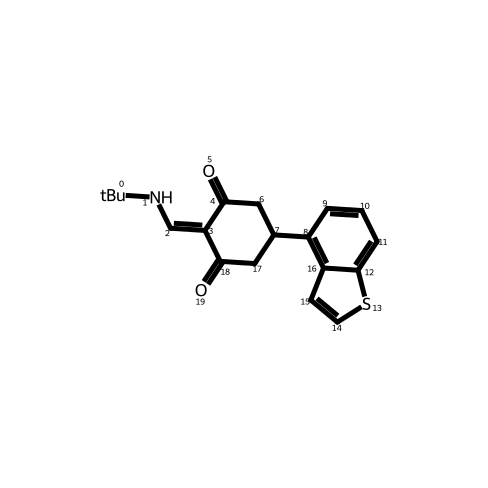 CC(C)(C)NC=C1C(=O)CC(c2cccc3sccc23)CC1=O